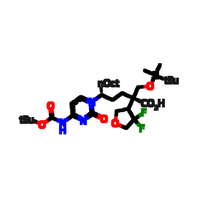 CCCCCCCC[C@H](CC[C@@](CO[Si](C)(C)C(C)(C)C)(C(=O)O)C1COCC1(F)F)n1ccc(NC(=O)OC(C)(C)C)nc1=O